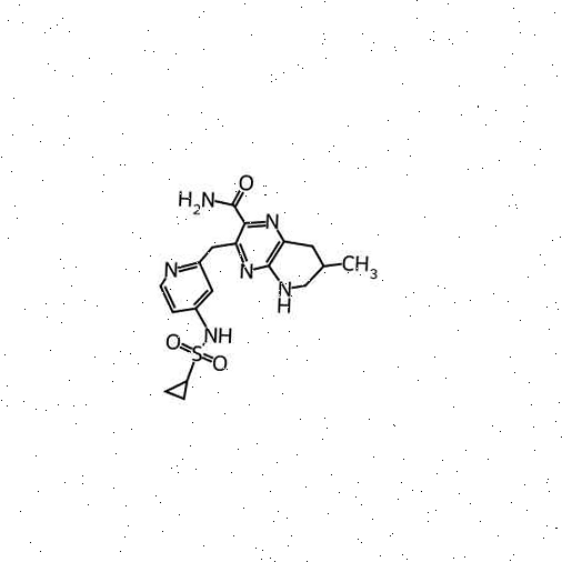 CC1CNc2nc(Cc3cc(NS(=O)(=O)C4CC4)ccn3)c(C(N)=O)nc2C1